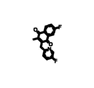 CC1=C(Cc2ccc(F)cn2)C(=O)c2cc(F)ccc2C1=O